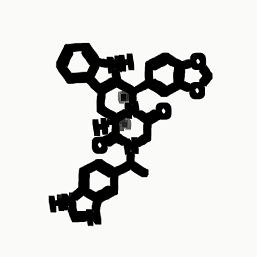 CC(c1ccc2[nH]cnc2c1)N1CC(=O)N2[C@H](c3ccc4c(c3)OCO4)c3[nH]c4ccccc4c3C[C@@H]2C1=O